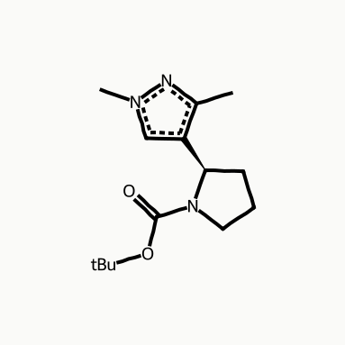 Cc1nn(C)cc1[C@H]1CCCN1C(=O)OC(C)(C)C